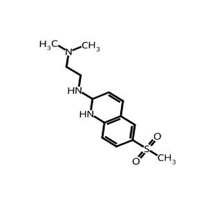 CN(C)CCNC1C=Cc2cc(S(C)(=O)=O)ccc2N1